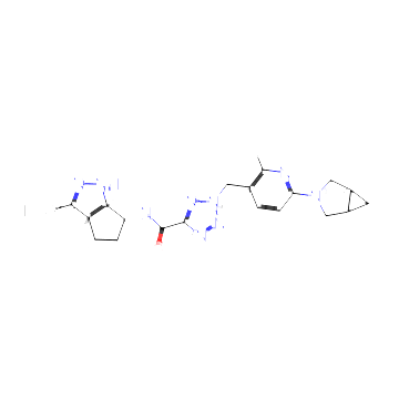 Cc1nc(N2CC3CC3C2)ccc1Cn1nnc(C(=O)N[C@@H]2CCc3c(C)n[nH]c32)n1